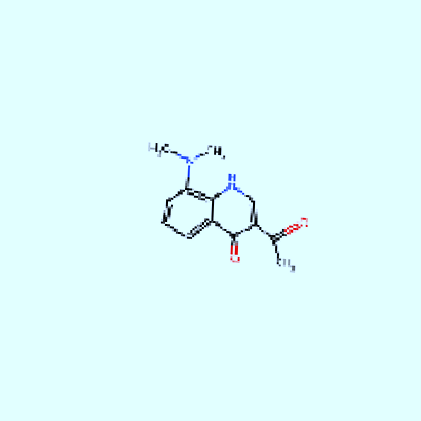 CC(=O)c1c[nH]c2c(N(C)C)cccc2c1=O